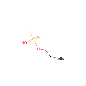 CCCCCCOP(=O)(O)F